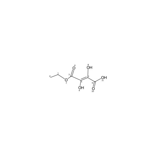 CCOC(=O)C(O)=C(O)C(=O)O